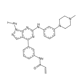 C=CC(=O)Nc1cccc(-c2nc(Nc3cccc(N4CCN(C)CC4)c3)nc3c2cnn3PI)c1